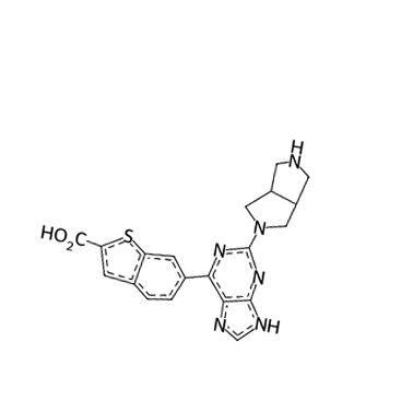 O=C(O)c1cc2ccc(-c3nc(N4CC5CNCC5C4)nc4[nH]cnc34)cc2s1